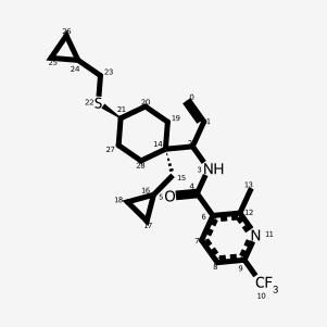 C=CC(NC(=O)c1ccc(C(F)(F)F)nc1C)[C@]1(CC2CC2)CC[C@H](SCC2CC2)CC1